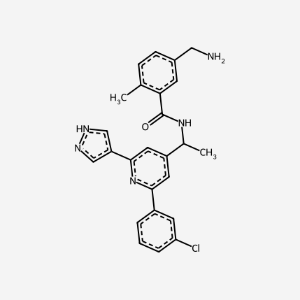 Cc1ccc(CN)cc1C(=O)NC(C)c1cc(-c2cn[nH]c2)nc(-c2cccc(Cl)c2)c1